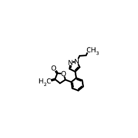 C=C1CC(c2ccccc2-c2cnn(CCC)c2)OC1=O